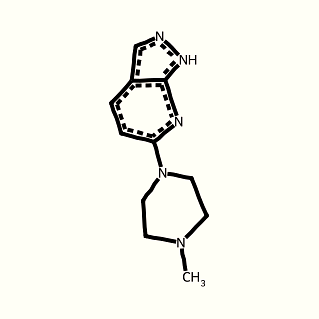 CN1CCN(c2ccc3cn[nH]c3n2)CC1